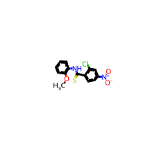 COc1ccccc1NC(=S)c1ccc([N+](=O)[O-])cc1Cl